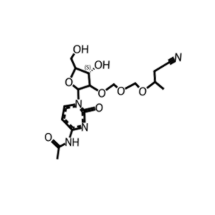 CC(=O)Nc1ccn(C2OC(CO)[C@H](O)C2OCOCOC(C)CC#N)c(=O)n1